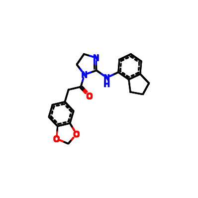 O=C(Cc1ccc2c(c1)OCO2)N1CCN=C1Nc1cccc2c1CCC2